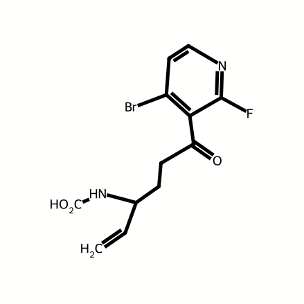 C=CC(CCC(=O)c1c(Br)ccnc1F)NC(=O)O